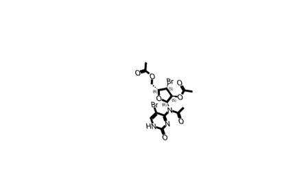 CC(=O)OC[C@H]1O[C@@H](N(C(C)=O)c2nc(=O)[nH]cc2Br)[C@H](OC(C)=O)[C@H]1Br